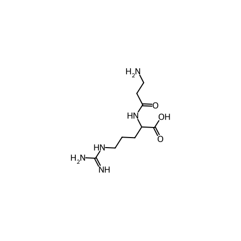 N=C(N)NCCCC(NC(=O)CCN)C(=O)O